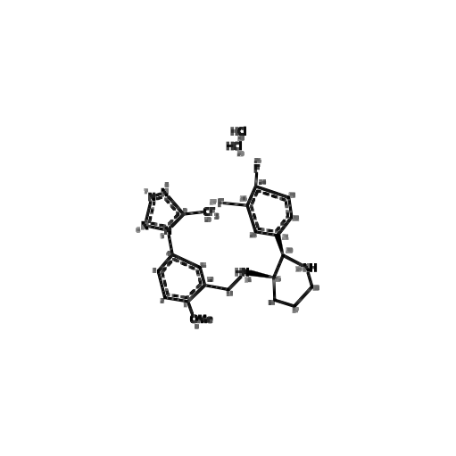 COc1ccc(-n2nnnc2C(F)(F)F)cc1CN[C@@H]1CCCN[C@@H]1c1ccc(F)c(F)c1.Cl.Cl